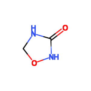 O=C1NCON1